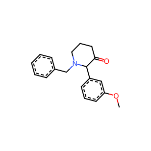 COc1cccc(C2C(=O)CCCN2Cc2ccccc2)c1